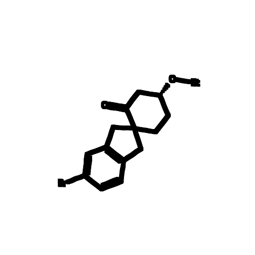 CCO[C@@H]1CCC2(Cc3ccc(Br)cc3C2)C(=O)C1